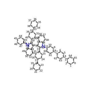 c1ccc(-c2ccc(-c3ccc(-n4c(-c5ccc(-c6ccccc6)cc5)c(-c5c(-c6ccc(-c7ccccc7)cc6)n(-c6ccccc6)c6ccccc56)c5ccccc54)cc3)cc2)cc1